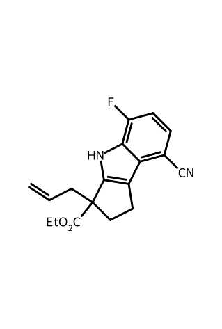 C=CCC1(C(=O)OCC)CCc2c1[nH]c1c(F)ccc(C#N)c21